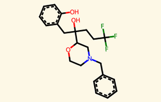 Oc1ccccc1CC(O)(CCC(F)(F)F)C1CN(Cc2ccccc2)CCO1